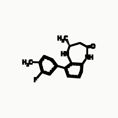 Cc1ccc(-c2cccc3c2N[C@H](C)CC(=O)N3)cc1F